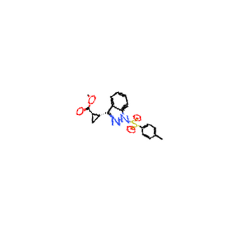 COC(=O)[C@@H]1C[C@H]1c1nn(S(=O)(=O)c2ccc(C)cc2)c2ccccc12